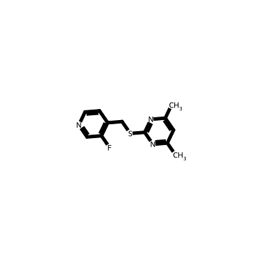 Cc1cc(C)nc(SCc2ccncc2F)n1